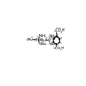 CC(C)(C)N(N)C(C)(C)C.CC(C)(C)N(N)C(C)(C)C.O=C(O)c1ccc(C(=O)O)cc1